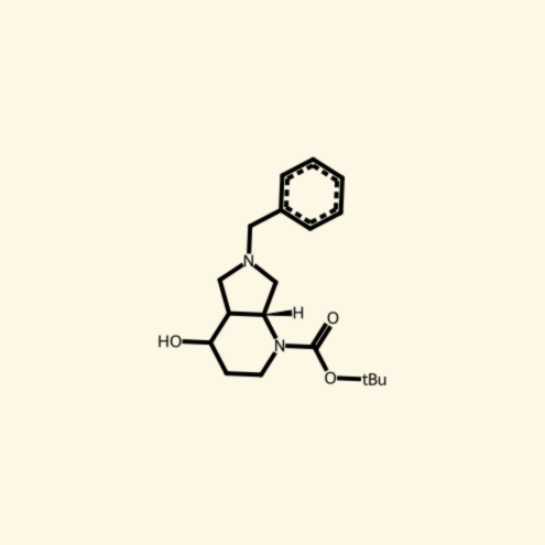 CC(C)(C)OC(=O)N1CCC(O)C2CN(Cc3ccccc3)C[C@@H]21